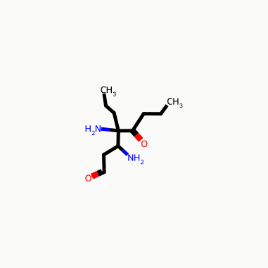 CCCC(=O)C(N)(CCC)C(N)CC=O